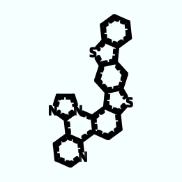 c1ccc2c(c1)sc1cc3c(cc12)sc1ccc2c4ncccc4c4nccn4c2c13